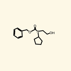 O=C(OCc1ccccc1)N(CCO)C1CCCC1